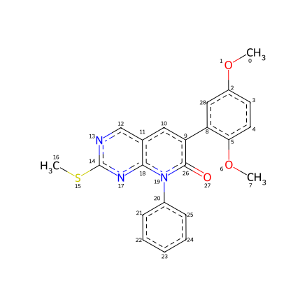 COc1ccc(OC)c(-c2cc3cnc(SC)nc3n(-c3ccccc3)c2=O)c1